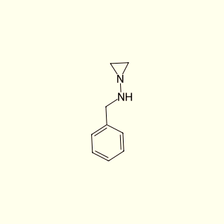 c1ccc(CNN2CC2)cc1